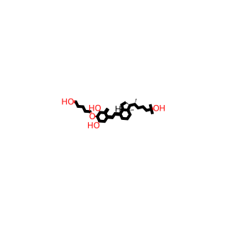 C=C1C(=CC=C2CCC[C@]3(C)[C@@H]([C@H](C)CCCC(C)(C)O)CC[C@@H]23)C[C@@H](O)[C@@H](OCCCCCO)[C@@H]1O